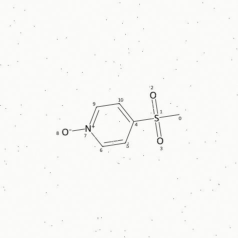 CS(=O)(=O)c1[c]c[n+]([O-])cc1